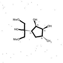 COCC(O)(COC)[C@H]1C[C@@H](C)[C@H](O)[C@@H]1O